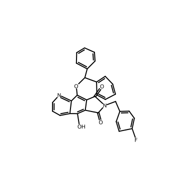 O=C1c2c(c(OC(c3ccccc3)c3ccccc3)c3ncccc3c2O)C(=O)N1Cc1ccc(F)cc1